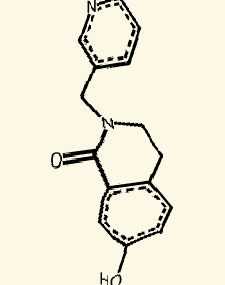 O=C1c2cc(O)ccc2CCN1Cc1cccnc1